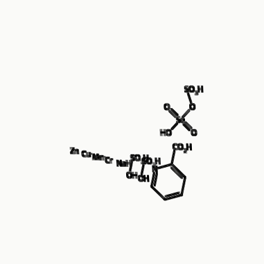 O=C(O)c1ccccn1.O=S(=O)(O)O.O=S(=O)(O)O.O=S(=O)(O)O[Se](=O)(=O)O.[Cr].[Cu].[Mn].[NaH].[Zn]